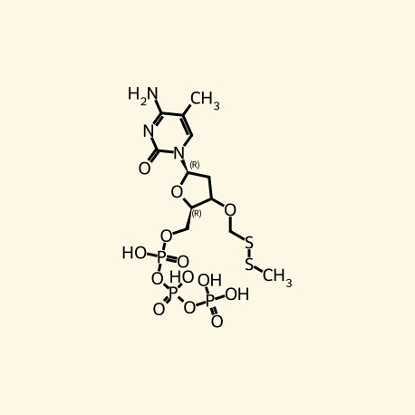 CSSCOC1C[C@H](n2cc(C)c(N)nc2=O)O[C@@H]1COP(=O)(O)OP(=O)(O)OP(=O)(O)O